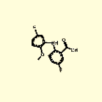 COc1ccc(F)cc1Nc1ccc(F)cc1C(=O)O